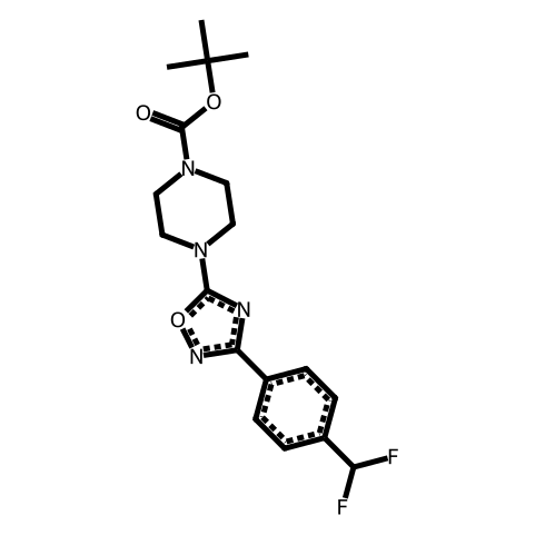 CC(C)(C)OC(=O)N1CCN(c2nc(-c3ccc(C(F)F)cc3)no2)CC1